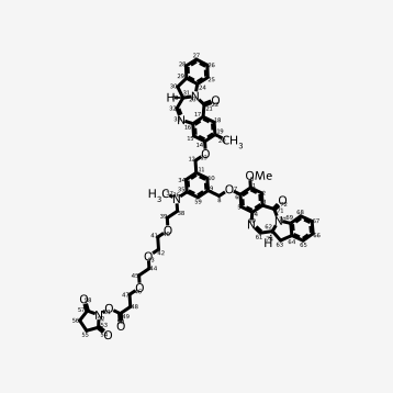 COc1cc2c(cc1OCc1cc(COc3cc4c(cc3C)C(=O)N3c5ccccc5C[C@H]3C=N4)cc(N(C)CCOCCOCCOCCC(=O)ON3C(=O)CCC3=O)c1)N=C[C@@H]1Cc3ccccc3N1C2=O